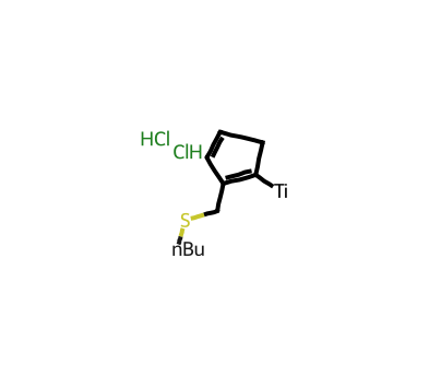 CCCCSCC1=[C]([Ti])CC=C1.Cl.Cl